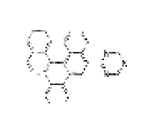 c1ccc2c(c1)ccc1c3ccccc3c3cc(-c4ncncn4)c4ccccc4c3c21